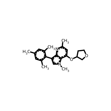 Cc1cc(C)c(-c2cn(C)c3c(OC4CCOC4)cc(C)nc23)c(C)c1